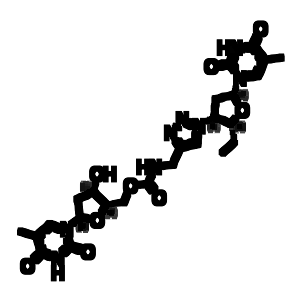 CC[C@H]1O[C@@H](n2cc(C)c(=O)[nH]c2=O)C[C@H]1n1cc(CNC(=O)OC[C@H]2O[C@@H](n3cc(C)c(=O)[nH]c3=O)C[C@H]2O)nn1